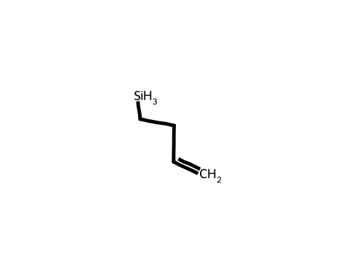 C=CCC[SiH3]